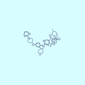 CC1CC2CC(C1)C(NC(=O)c1cnc(N3CC4(CCOCC4)c4cc(OC5CCN(c6ncccn6)CC5)ccc43)nc1C(F)(F)F)(C(=O)O)C2